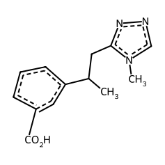 CC(Cc1nncn1C)c1cccc(C(=O)O)c1